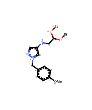 CCOC(CNc1cnn(Cc2ccc(OC)cc2)c1)OCC